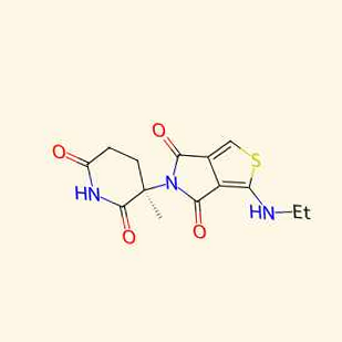 CCNc1scc2c1C(=O)N([C@]1(C)CCC(=O)NC1=O)C2=O